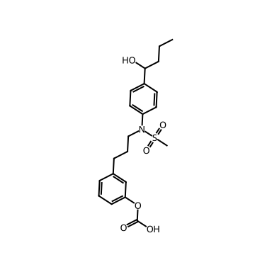 CCCC(O)c1ccc(N(CCCc2cccc(OC(=O)O)c2)S(C)(=O)=O)cc1